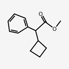 COC(=O)C(c1ccccc1)C1CCC1